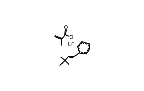 C=C(C)C(=O)[O-].CC(C)(C)C=Cc1ccccc1.[Li+]